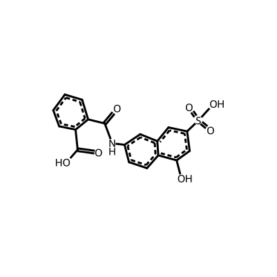 O=C(O)c1ccccc1C(=O)Nc1ccc2c(O)cc(S(=O)(=O)O)cc2c1